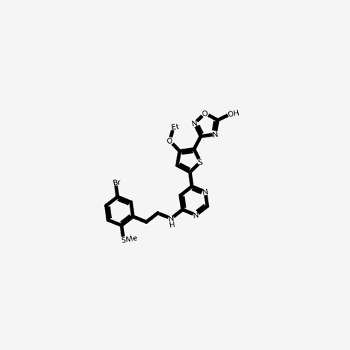 CCOc1cc(-c2cc(NCCc3cc(Br)ccc3SC)ncn2)sc1-c1noc(O)n1